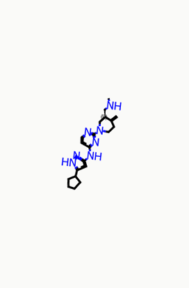 C=C1CCN(c2nccc(Nc3cc(C4CCCC4)[nH]n3)n2)C[C@H]1CNC